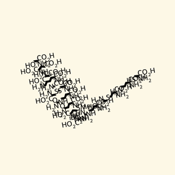 CC[C@H](C)[C@H](N)C(=O)O.CSCC[C@H](N)C(=O)O.N=C(N)NCCC[C@H](N)C(=O)O.NC(=O)CC[C@H](N)C(=O)O.NC(=O)NCCC[C@H](N)C(=O)O.NC(CSCC[C@H](N)C(=O)O)C(=O)O.NC(CSSC[C@H](N)C(=O)O)C(=O)O.NCC(=O)O.NCCCC[C@H](N)C(=O)O.NCCC[C@H](N)C(=O)O.N[C@@H](CC(=O)O)C(=O)O.N[C@@H](CCC(=O)O)C(=O)O.N[C@@H](CO)C(=O)O.N[C@@H](CS)C(=O)O